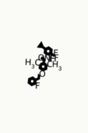 Cc1cc(OCCc2ccccc2F)cc(C)c1C(=O)Nc1cc(C2CC2)ccc1C(F)(F)F